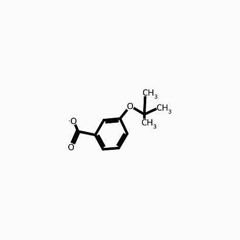 CC(C)(C)Oc1cccc(C([O])=O)c1